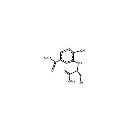 COC(=O)c1ccc(O)c(N[C@@H](CC(C)C)C(=O)OC)c1